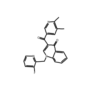 Cc1cc(C(=O)c2cn(Cc3ncccc3F)c3ccccc3c2=O)cnc1C